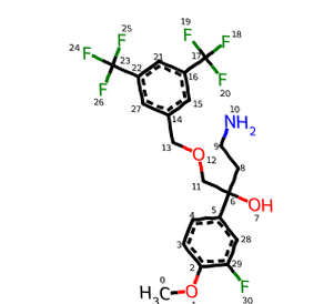 COc1ccc(C(O)(CCN)COCc2cc(C(F)(F)F)cc(C(F)(F)F)c2)cc1F